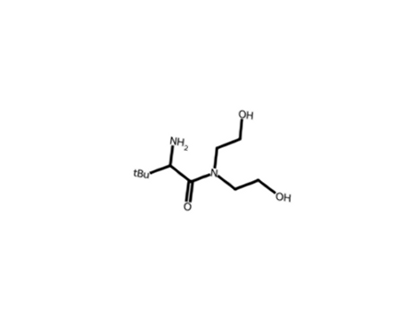 CC(C)(C)C(N)C(=O)N(CCO)CCO